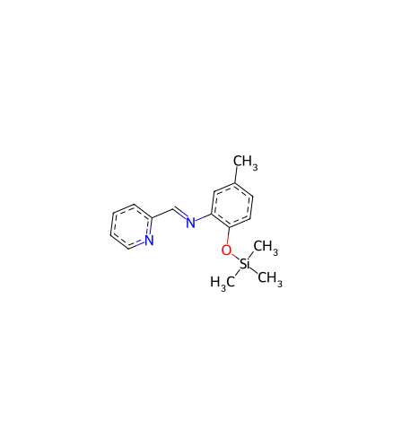 Cc1ccc(O[Si](C)(C)C)c(N=Cc2ccccn2)c1